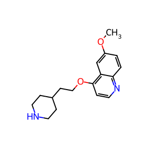 COc1ccc2nccc(OCCC3CCNCC3)c2c1